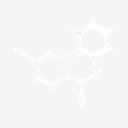 O=C(I)c1ccc(F)cc1-c1ncccn1